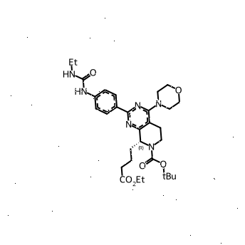 CCNC(=O)Nc1ccc(-c2nc3c(c(N4CCOCC4)n2)CCN(C(=O)OC(C)(C)C)[C@@H]3CCCC(=O)OCC)cc1